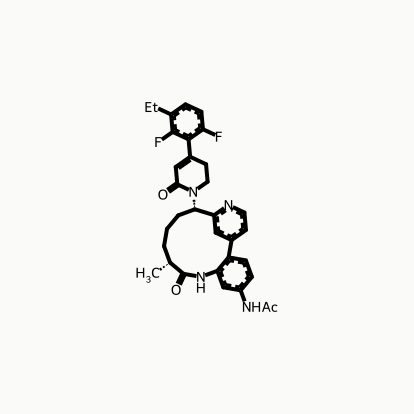 CCc1ccc(F)c(C2=CC(=O)N([C@H]3CCC[C@@H](C)C(=O)Nc4cc(NC(C)=O)ccc4-c4ccnc3c4)CC2)c1F